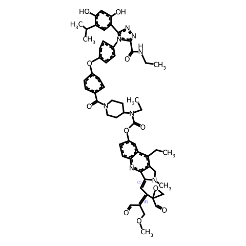 CCNC(=O)c1nnc(-c2cc(C(C)C)c(O)cc2O)n1-c1ccc(Oc2ccc(C(=O)N3CCC(N(CC)C(=O)Oc4ccc5nc6c(c(CC)c5c4)CN(C)/C6=C\C(=C(/C=O)COC)C4(C=O)CO4)CC3)cc2)cc1